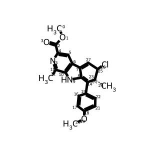 COC(=O)c1cc2c3c([nH]c2c(C)n1)=C(c1ccc(OC)cc1)[C@@H](C)C(Cl)C=3